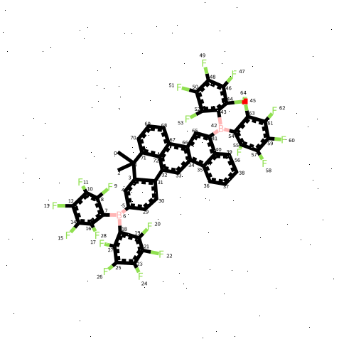 CC1(C)c2cc(B(c3c(F)c(F)c(F)c(F)c3F)c3c(F)c(F)c(F)c(F)c3F)ccc2-c2cc3c4ccccc4c(B(c4c(F)c(F)c(F)c(F)c4F)c4c(F)c(F)c(F)c(F)c4F)cc3c3cccc1c23